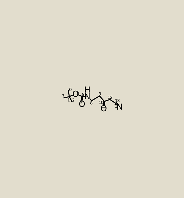 CC(C)(C)OC(=O)NCCC(=O)CC#N